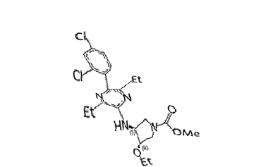 CCO[C@@H]1CN(C(=O)OC)C[C@@H]1Nc1nc(CC)c(-c2ccc(Cl)cc2Cl)nc1CC